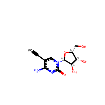 C#Cc1cn([C@@H]2O[C@H](CO)[C@H](O)[C@H]2O)c(=O)nc1N